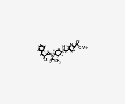 CCC(=Cc1ccccc1)C1C[C@@H]1N(C(=O)C(F)(F)F)C1CCC(NCc2cnc(C(=O)OC)nc2)CC1